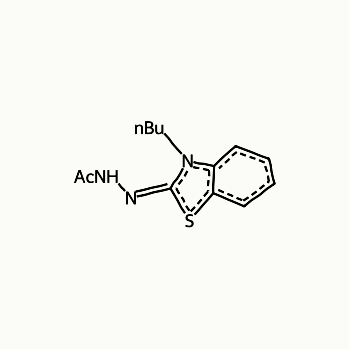 CCCCn1c(=NNC(C)=O)sc2ccccc21